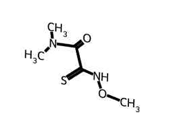 CONC(=S)C(=O)N(C)C